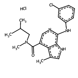 Cc1c[nH]c2c(Nc3cccc(Cl)c3)ncc(C(=O)N(C)CC(C)C)c12.Cl